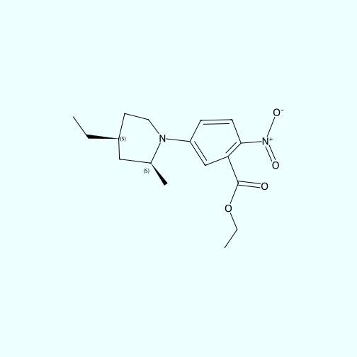 CCOC(=O)c1cc(N2CC[C@H](CC)C[C@@H]2C)ccc1[N+](=O)[O-]